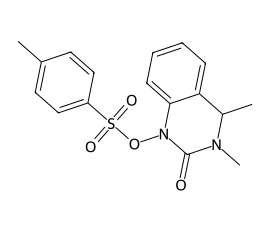 Cc1ccc(S(=O)(=O)ON2C(=O)N(C)C(C)c3ccccc32)cc1